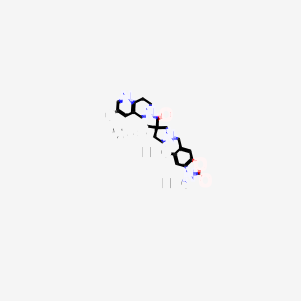 COCC1(C(=O)N2CCc3ncc(C(F)(F)F)cc3C2)CCN(Cc2cc3oc(=O)n(C)c3cc2C)C1